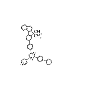 CC1(C)c2cc(-c3ccc(-c4cc(-c5ccncc5)nc(-c5ccc(-c6ccccc6)cc5)n4)cc3)ccc2-c2c1ccc1ccccc21